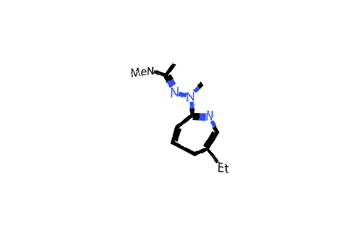 CCC1=CN=C(N(C)/N=C(\C)NC)C=CC1